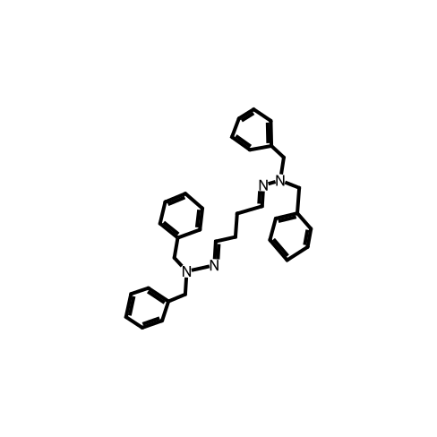 C(CCC=NN(Cc1ccccc1)Cc1ccccc1)=NN(Cc1ccccc1)Cc1ccccc1